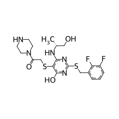 C[C@H](CO)Nc1nc(SCc2cccc(F)c2F)nc(O)c1SCC(=O)N1CCNCC1